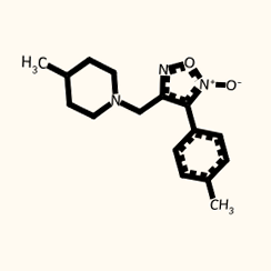 Cc1ccc(-c2c(CN3CCC(C)CC3)no[n+]2[O-])cc1